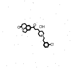 Cl.O=C(CCC1CCN(CCc2cccc(Cl)c2)CC1)c1cc2c3c(c1)CCN3C(=O)CC2